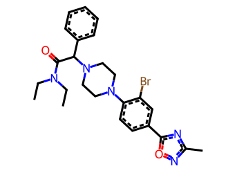 CCN(CC)C(=O)C(c1ccccc1)N1CCN(c2ccc(-c3nc(C)no3)cc2Br)CC1